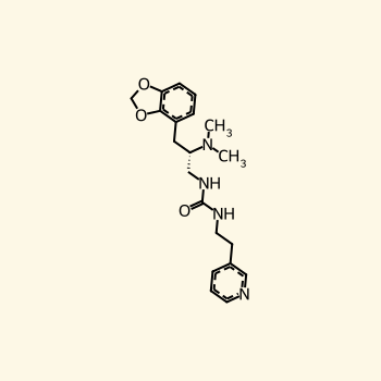 CN(C)[C@H](CNC(=O)NCCc1cccnc1)Cc1cccc2c1OCO2